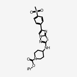 CC(C)OC(=O)N1CCC(Nc2nn3cc(-c4ccc(S(C)(=O)=O)cc4)nc3s2)CC1